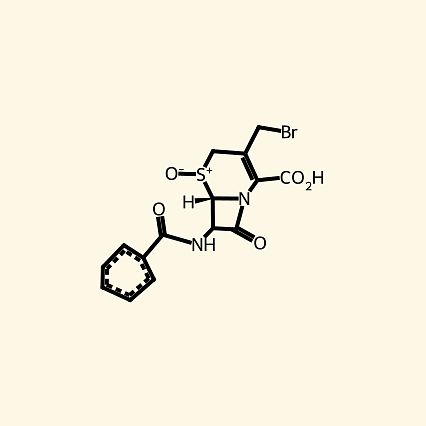 O=C(O)C1=C(CBr)C[S+]([O-])[C@H]2C(NC(=O)c3ccccc3)C(=O)N12